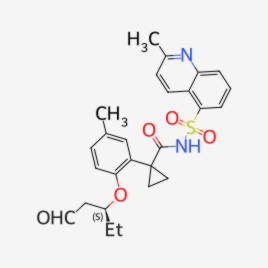 CC[C@@H](CC=O)Oc1ccc(C)cc1C1(C(=O)NS(=O)(=O)c2cccc3nc(C)ccc23)CC1